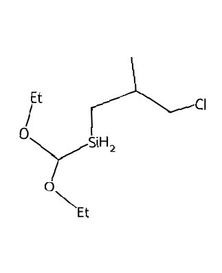 CCOC(OCC)[SiH2]CC(C)CCl